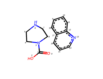 O=C(O)N1CCNCC1.c1ccc2ncccc2c1